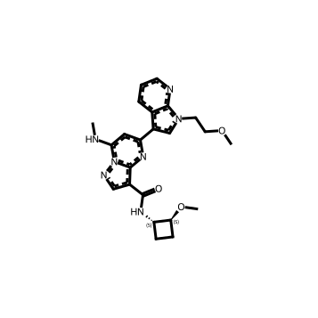 CNc1cc(-c2cn(CCOC)c3ncccc23)nc2c(C(=O)N[C@H]3CC[C@@H]3OC)cnn12